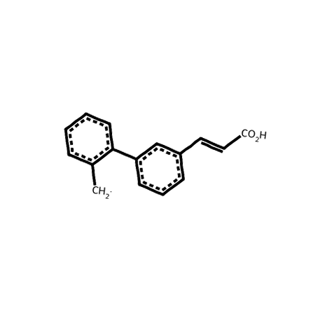 [CH2]c1ccccc1-c1cccc(C=CC(=O)O)c1